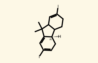 CC1(C)C2=CC(I)=CC[C@@H]2C2CCC(I)=CC21